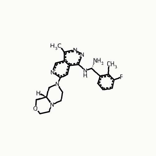 Cc1c(F)cccc1[C@@H](N)Nc1nnc(C)c2cnc(N3CCN4CCOC[C@@H]4C3)cc12